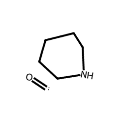 C1CCNCC1.[C]=O